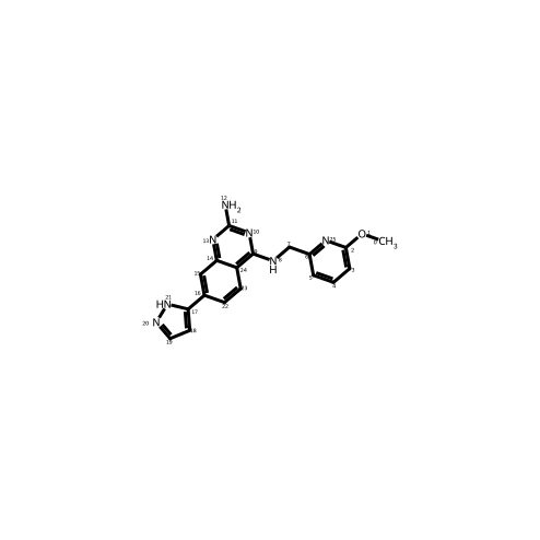 COc1cccc(CNc2nc(N)nc3cc(-c4ccn[nH]4)ccc23)n1